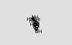 C[C@]12CCC(O)CC1CC[C@@H]1[C@H]2CC[C@]2(C)C(NNC(=N)N)CC[C@@]12O